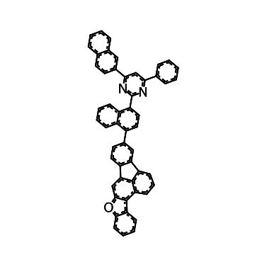 c1ccc(-c2cc(-c3ccc4ccccc4c3)nc(-c3ccc(-c4ccc5c(c4)-c4cccc6c4c-5cc4oc5ccccc5c46)c4ccccc34)n2)cc1